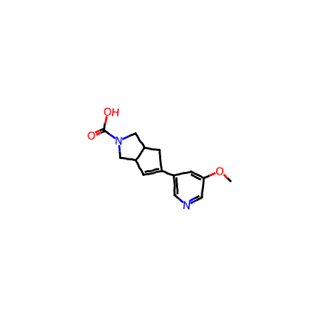 COc1cncc(C2=CC3CN(C(=O)O)CC3C2)c1